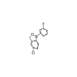 Fc1cccc(B2OCc3cc(Cl)ccc32)c1